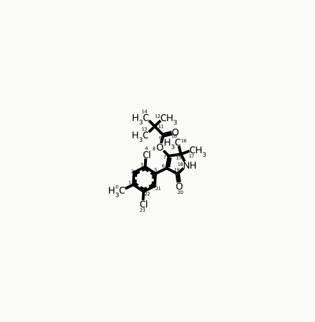 Cc1cc(Cl)c(C2=C(OC(=O)C(C)(C)C)C(C)(C)NC2=O)cc1Cl